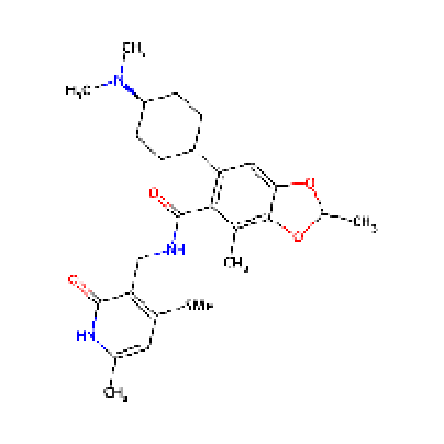 CSc1cc(C)[nH]c(=O)c1CNC(=O)c1c(C)c2c(cc1[C@H]1CC[C@H](N(C)C)CC1)OC(C)O2